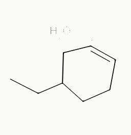 CCC1CC=CCC1.O